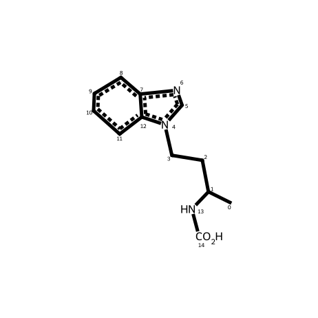 CC(CCn1cnc2ccccc21)NC(=O)O